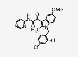 COc1ccc2c(c1)c(C(=O)C(=O)Nc1ccncn1)c(C)n2Cc1ccc(Cl)cc1Cl